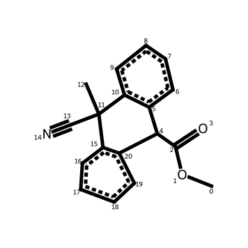 COC(=O)C1c2ccccc2C(C)(C#N)c2ccccc21